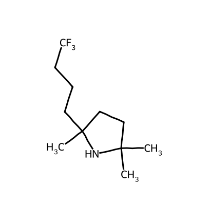 CC1(C)CCC(C)(CCCC(F)(F)F)N1